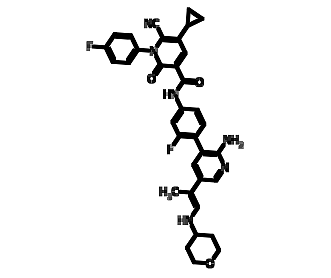 C/C(=C\NC1CCOCC1)c1cnc(N)c(-c2ccc(NC(=O)c3cc(C4CC4)c(C#N)n(-c4ccc(F)cc4)c3=O)cc2F)c1